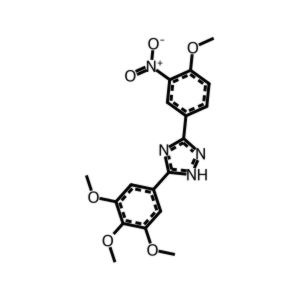 COc1ccc(-c2n[nH]c(-c3cc(OC)c(OC)c(OC)c3)n2)cc1[N+](=O)[O-]